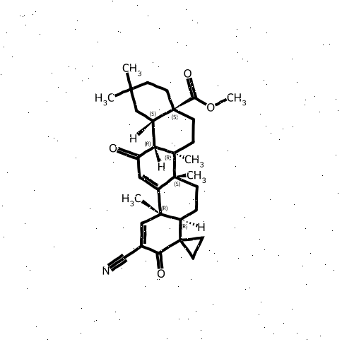 COC(=O)[C@]12CCC(C)(C)C[C@H]1[C@H]1C(=O)C=C3[C@@]4(C)C=C(C#N)C(=O)C5(CC5)[C@@H]4CC[C@@]3(C)[C@]1(C)CC2